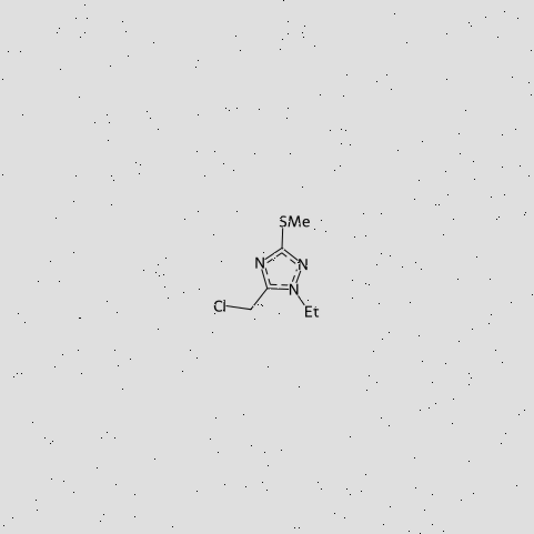 CCn1nc(SC)nc1CCl